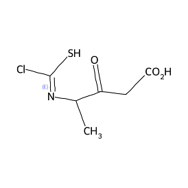 CC(/N=C(\S)Cl)C(=O)CC(=O)O